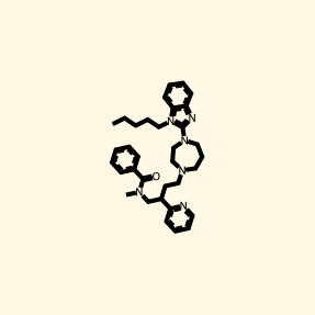 CCCCCn1c(N2CCCN(CCC(CN(C)C(=O)c3ccccc3)c3ccccn3)CC2)nc2ccccc21